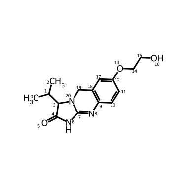 CC(C)C1C(=O)NC2=Nc3ccc(OCCO)cc3CN21